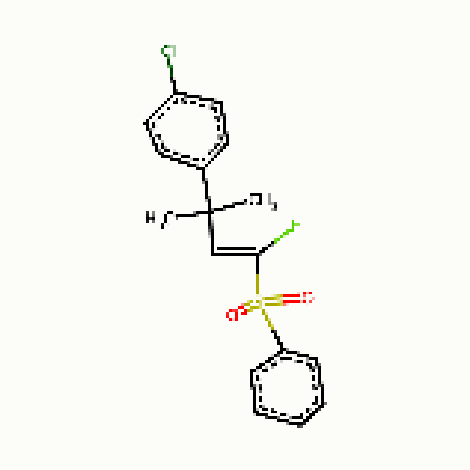 CC(C)(C=C(F)S(=O)(=O)c1ccccc1)c1ccc(Cl)cc1